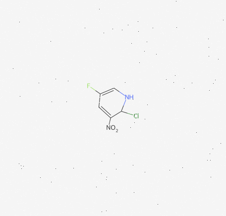 O=[N+]([O-])C1=CC(F)=CNC1Cl